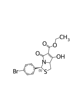 CCOC(=O)C1=C(O)C2CS[C@@H](c3ccc(Br)cc3)N2C1=O